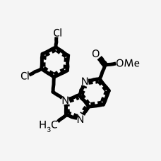 COC(=O)c1ccc2nc(C)n(Cc3ccc(Cl)cc3Cl)c2n1